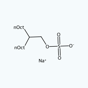 CCCCCCCCC(CCCCCCCC)COS(=O)(=O)[O-].[Na+]